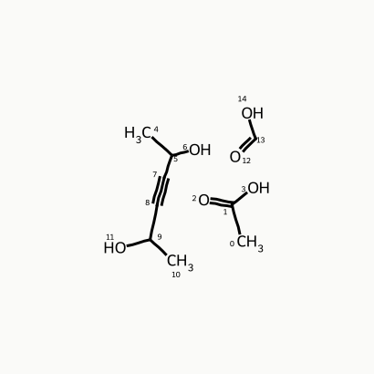 CC(=O)O.CC(O)C#CC(C)O.O=CO